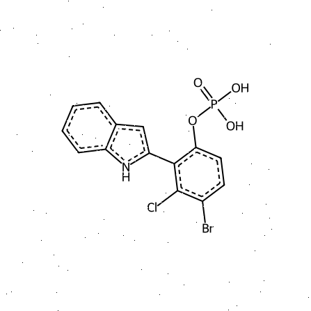 O=P(O)(O)Oc1ccc(Br)c(Cl)c1-c1cc2ccccc2[nH]1